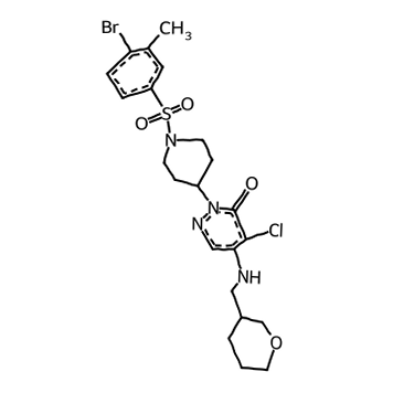 Cc1cc(S(=O)(=O)N2CCC(n3ncc(NCC4CCCOC4)c(Cl)c3=O)CC2)ccc1Br